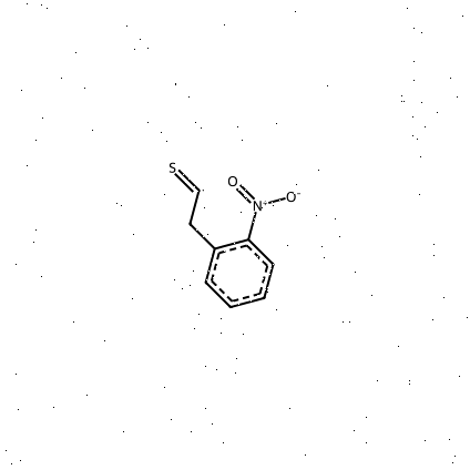 O=[N+]([O-])c1ccccc1C[C]=S